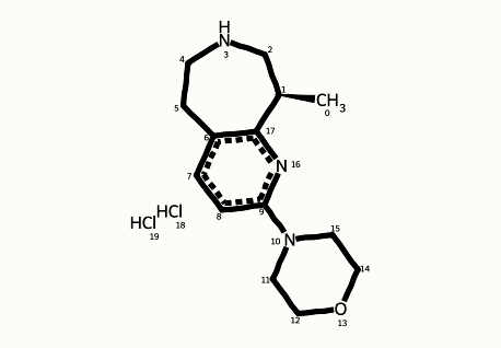 C[C@@H]1CNCCc2ccc(N3CCOCC3)nc21.Cl.Cl